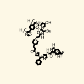 Cc1ncsc1-c1ccc([C@H](C)NC(=O)[C@@H]2C[C@@H](O)CN2C(=O)C(NC(=O)CCN2CCC(CCC(=O)N3CC([C@@H](c4ccccc4)n4cc(NC(=O)c5n[nH]c6c5C[C@@H]5C(F)(F)[C@]5(C)C6)cn4)C3)CC2)C(C)(C)C)cc1